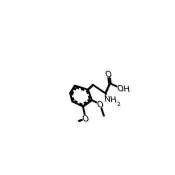 COc1cccc(C[C@H](N)C(=O)O)c1OC